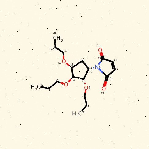 CCCO[C@@H]1[C@@H](OCCC)[C@@H](N2C(=O)C=CC2=O)C[C@@H]1OCCC